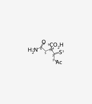 CC(=O)CC(=S)[C@@H](CC(N)=O)C(=O)O